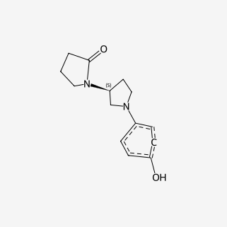 O=C1CCCN1[C@H]1CCN(c2ccc(O)cc2)C1